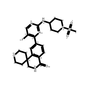 CS(=O)(=O)N1CCC(Nc2ncc(F)c(-c3ccc4c(c3)C3(CCOCC3)CNC4=O)n2)CC1